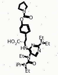 CCN(CC)c1ncc(N(CC)C(=O)N(CC)C(C)C)c(N[C@@H](Cc2ccc(OC(=O)N3CCCC3)cc2)C(=O)O)n1